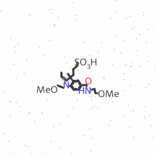 C/C=C1/N(CCOC)c2ccc(C(=O)NCCOC)cc2C1(C)CCCS(=O)(=O)O